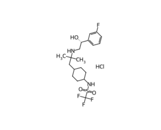 CC(C)(CC1CCC(NS(=O)(=O)C(F)(F)F)CC1)NC[C@H](O)c1cccc(F)c1.Cl